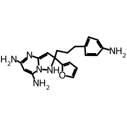 NC1=CC(N)=NC2=CC(CCCc3ccc(N)cc3)(c3ccco3)NN12